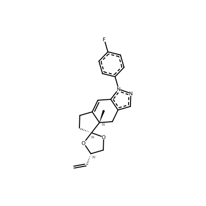 C=C[C@H]1CO[C@@]2(CCC3=Cc4c(cnn4-c4ccc(F)cc4)C[C@@]32C)O1